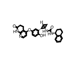 O=C1CCc2c(Oc3ccc(O)c([C@@H]4[C@@H]5C[C@@]45NC(=O)N[C@H]4CCCc5ccccc54)c3)ccnc2N1